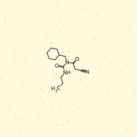 CCCNC(=O)N(CC1CCCCC1)C(=O)CC#N